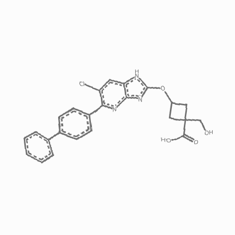 O=C(O)C1(CO)CC(Oc2nc3nc(-c4ccc(-c5ccccc5)cc4)c(Cl)cc3[nH]2)C1